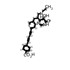 C=CCNCC(Cc1ccc(C#CC#Cc2ccc(C(=O)O)cc2)cc1)c1nc[nH]c(=O)c1O